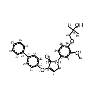 COc1cc(N2CC=C(Oc3ccc(-c4ccccc4)cc3)C2=O)ccc1OCC(C)(C)O